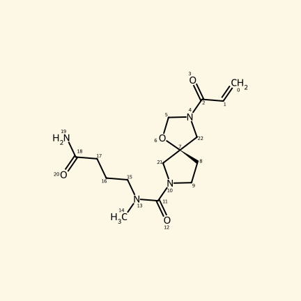 C=CC(=O)N1CO[C@]2(CCN(C(=O)N(C)CCCC(N)=O)C2)C1